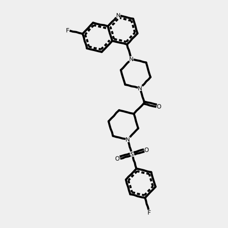 O=C(C1CCCN(S(=O)(=O)c2ccc(F)cc2)C1)N1CCN(c2ccnc3cc(F)ccc23)CC1